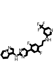 Fc1cc(-c2cnc(Nc3cnn4ccccc34)nc2)c(F)cc1CCNc1cncc(C(F)(F)F)c1